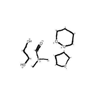 C1CCOC1.C1CCOOC1.CN(C)C=O.OCCO